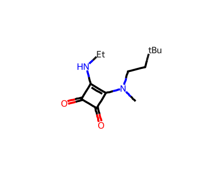 CCNc1c(N(C)CCC(C)(C)C)c(=O)c1=O